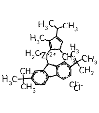 [CH2]=[Zr+2]([C]1=C(C)C(C(C)C)=CC1C)[CH]1c2cc(C(C)(C)C)ccc2-c2ccc(C(C)(C)C)cc21.[Cl-].[Cl-]